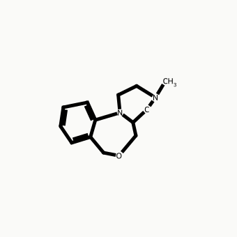 CN1CCN2c3ccccc3COCC2C1